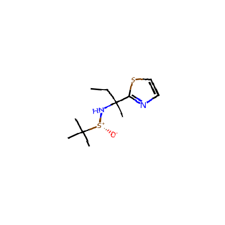 CCC(C)(N[S@+]([O-])C(C)(C)C)c1nccs1